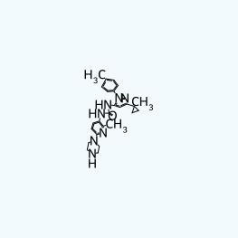 Cc1ccc(-n2nc(C3(C)CC3)cc2NC(=O)Nc2ccc(N3CCNCC3)nc2C)cc1